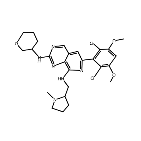 COc1cc(OC)c(Cl)c(-c2cc3cnc(NC4CCCOC4)nc3c(NCC3CCCN3C)n2)c1Cl